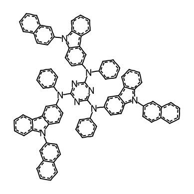 c1ccc(N(c2ccc3c(c2)c2ccccc2n3-c2ccc3ccccc3c2)c2nc(N(c3ccccc3)c3ccc4c(c3)c3ccccc3n4-c3ccc4ccccc4c3)nc(N(c3ccccc3)c3ccc4c(c3)c3ccccc3n4-c3ccc4ccccc4c3)n2)cc1